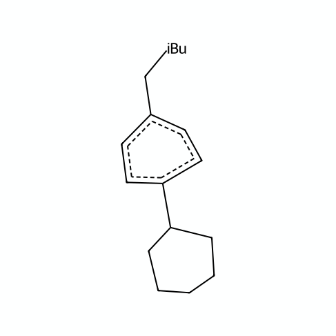 CCC(C)Cc1ccc(C2CCCCC2)cc1